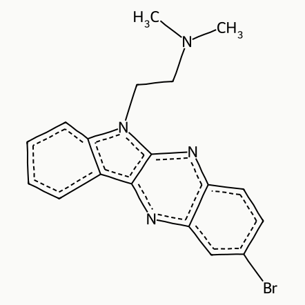 CN(C)CCn1c2ccccc2c2nc3cc(Br)ccc3nc21